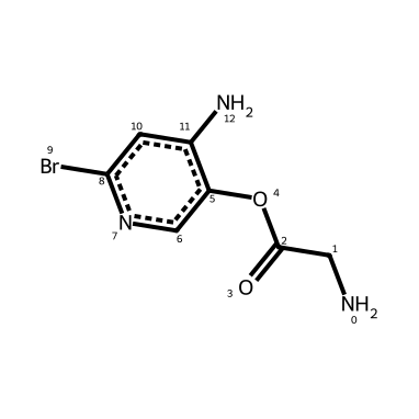 NCC(=O)Oc1cnc(Br)cc1N